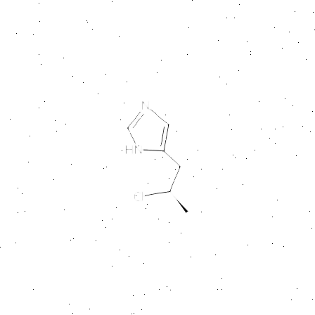 C[C@@H](Cl)Cc1cnc[nH]1